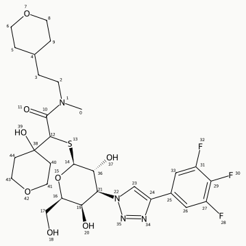 CN(CCC1CCOCC1)C(=O)C(S[C@@H]1O[C@H](CO)[C@H](O)[C@H](n2cc(-c3cc(F)c(F)c(F)c3)nn2)[C@H]1O)C1(O)CCOCC1